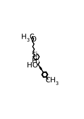 COCCCCC[Si@H]1CC[C@H](CC(O)C#Cc2ccc(C)cc2)CC1